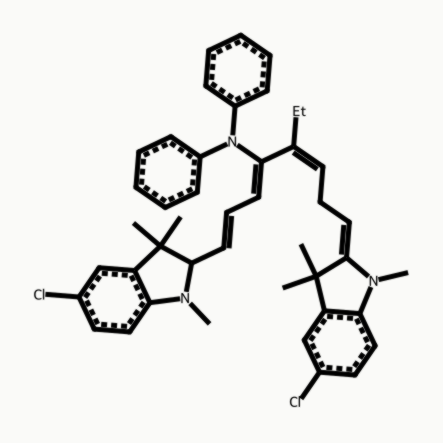 CCC(=C/C/C=C1/N(C)c2ccc(Cl)cc2C1(C)C)/C(=C/C=C/C1N(C)c2ccc(Cl)cc2C1(C)C)N(c1ccccc1)c1ccccc1